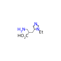 CCn1cncc1CC(CN)C(=O)O